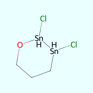 [Cl][SnH]1[CH2]CC[O][SnH]1[Cl]